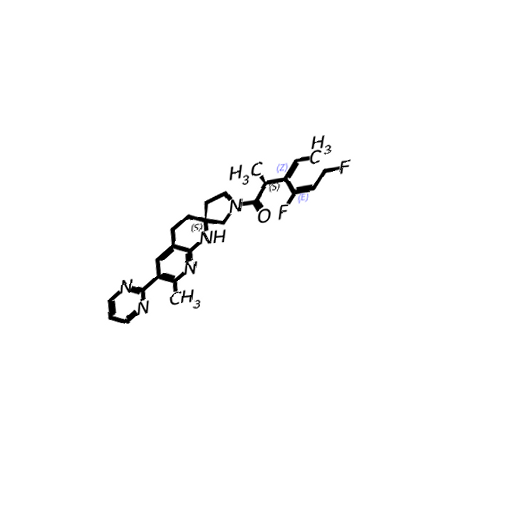 C/C=C(\C(F)=C/CF)[C@H](C)C(=O)N1CC[C@@]2(CCc3cc(-c4ncccn4)c(C)nc3N2)C1